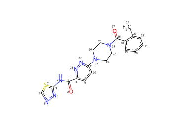 O=C(Nc1nncs1)c1ccc(N2CCN(C(=O)c3ccccc3C(F)(F)F)CC2)nn1